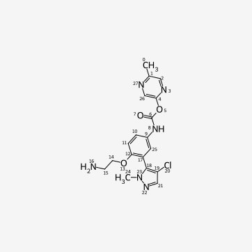 Cc1cnc(OC(=O)Nc2ccc(OCCN)c(-c3c(Cl)cnn3C)c2)cn1